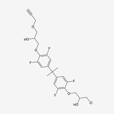 C#CCOCC(O)COc1c(F)cc(C(C)(C)c2cc(F)c(OCC(O)CCl)c(F)c2)cc1F